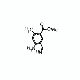 COC(=O)c1cc(C=N)c(N)cc1C